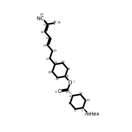 CCCCCC[C@H]1CC[C@H](C(=O)OC2CCC(CC/C=C/C=C(F)C#N)CC2)CC1